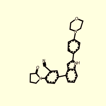 N#Cc1cc(-c2cccc3[nH]c(-c4ccc(N5CCOCC5)cc4)cc23)ccc1N1CCCC1=O